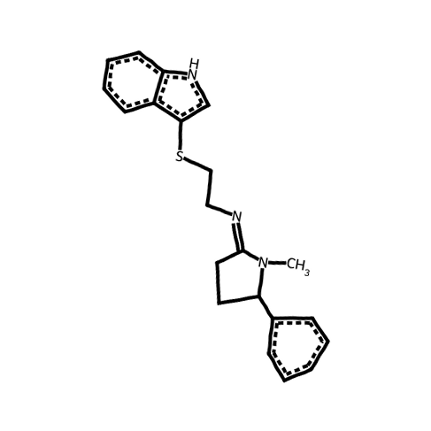 CN1/C(=N/CCSc2c[nH]c3ccccc23)CCC1c1ccccc1